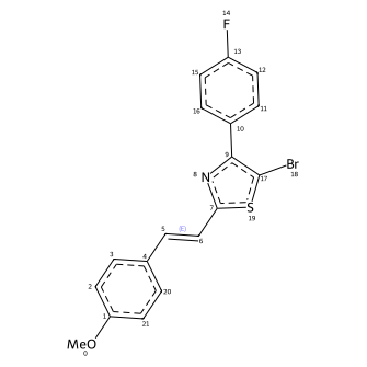 COc1ccc(/C=C/c2nc(-c3ccc(F)cc3)c(Br)s2)cc1